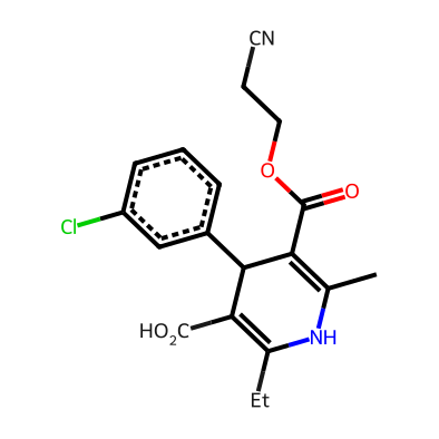 CCC1=C(C(=O)O)C(c2cccc(Cl)c2)C(C(=O)OCCC#N)=C(C)N1